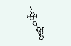 CCCCC1CC[C@@H]2C[C@H](c3ccc(-c4ccc(OCc5ccccc5)c(F)c4)cc3)CC[C@@H]2C1